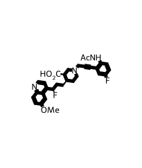 COc1ccc2nccc([C@@H](F)CC[C@@H]3CCN(CC#Cc4cc(F)ccc4NC(C)=O)C[C@@H]3C(=O)O)c2c1